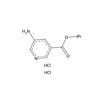 CC(C)OC(=O)c1cncc(N)c1.Cl.Cl